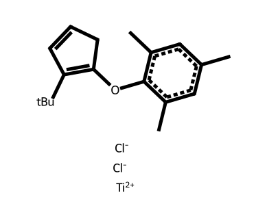 Cc1cc(C)c(OC2=C(C(C)(C)C)C=CC2)c(C)c1.[Cl-].[Cl-].[Ti+2]